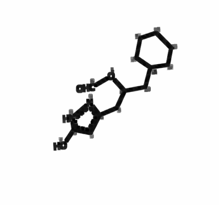 O=COC(Cc1cc(O)[nH]n1)CC1CCCCC1